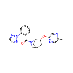 Cc1cnc(OC2CC3CC2N(C(=O)c2ccccc2-n2nccn2)C3)cn1